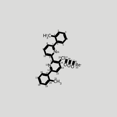 Cc1ccccc1-c1cccc(-c2nc(-c3ccccc3C)ccc2Cl)n1.[C]=O.[C]=O.[C]=O.[Re]